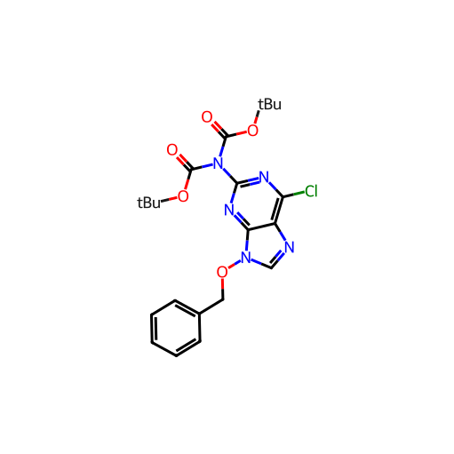 CC(C)(C)OC(=O)N(C(=O)OC(C)(C)C)c1nc(Cl)c2ncn(OCc3ccccc3)c2n1